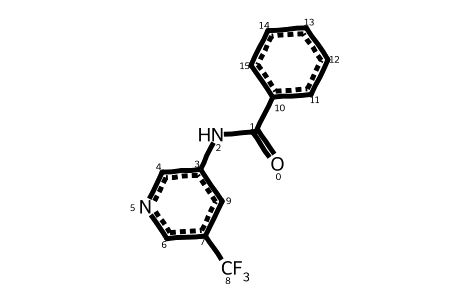 O=C(Nc1cncc(C(F)(F)F)c1)c1ccccc1